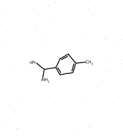 CCC[CH]([AlH2])c1ccc(C)cc1